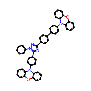 c1ccc(-n2nc(-c3ccc(-c4ccc(N5c6ccccc6Oc6ccccc65)cc4)cc3)nc2-c2ccc(N3c4ccccc4Oc4ccccc43)cc2)cc1